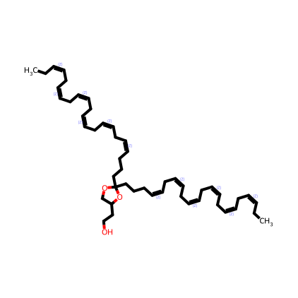 CC/C=C\C/C=C\C/C=C\C/C=C\C/C=C\C/C=C\CCCC1(CCC/C=C\C/C=C\C/C=C\C/C=C\C/C=C\C/C=C\CC)OCC(CCO)O1